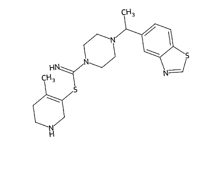 CC1=C(SC(=N)N2CCN(C(C)c3ccc4scnc4c3)CC2)CNCC1